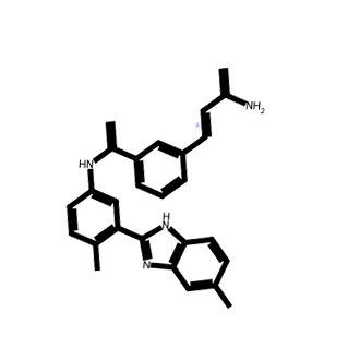 C=C(N)/C=C/c1cccc(C(=C)Nc2ccc(C)c(-c3nc4cc(C)ccc4[nH]3)c2)c1